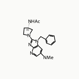 CNc1cnc2nc(N3CC[C@H](NC(C)=O)C3)n(Cc3ccccc3)c2c1